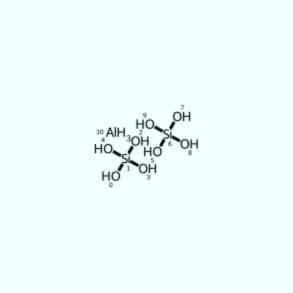 O[Si](O)(O)O.O[Si](O)(O)O.[AlH3]